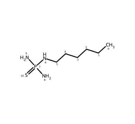 CCCCCCNP(N)(N)=S